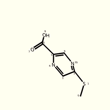 CSc1cnc(C(=O)O)cn1